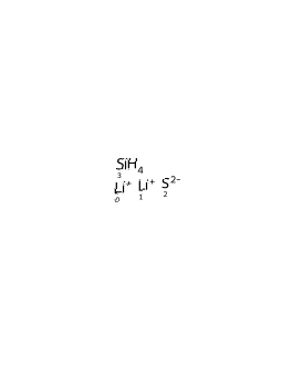 [Li+].[Li+].[S-2].[SiH4]